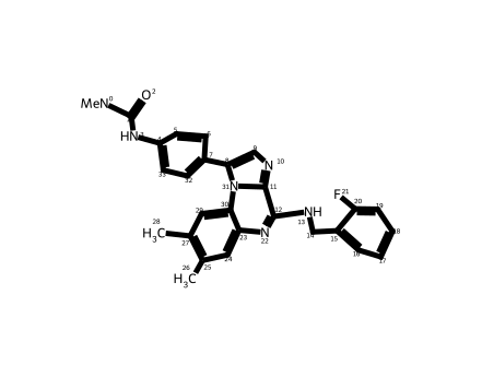 CNC(=O)Nc1ccc(-c2cnc3c(NCc4ccccc4F)nc4cc(C)c(C)cc4n23)cc1